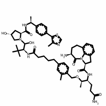 Cc1cc(CCCCC(=O)N[C@H](C(O)N2C[C@H](O)C[C@H]2C(=O)N[C@@H](C)c2ccc(-c3scnc3C)cc2)C(C)(C)C)ccc1CO[C@H](C)[C@H](CCC(N)=O)NC(=O)[C@@H]1Cc2cccc3c2N1C(=O)[C@@H](N)CC3